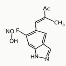 CC(=O)C(C)=Cc1cc2cn[nH]c2cc1F.O=NO